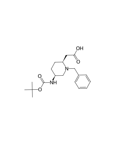 CC(C)(C)OC(=O)N[C@H]1CC[C@@H](CC(=O)O)N(Cc2ccccc2)C1